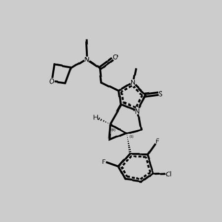 CN(C(=O)Cc1c2n(c(=S)n1C)C[C@@]1(c3c(F)ccc(Cl)c3F)C[C@@H]21)C1COC1